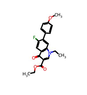 CCOC(=O)c1cn(CC)c2cc(-c3ccc(OC)cc3)c(F)cc2c1=O